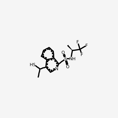 CC(S)c1cnc(S(=O)(=O)N[C@@H](C)C(F)(F)F)c2ccccc12